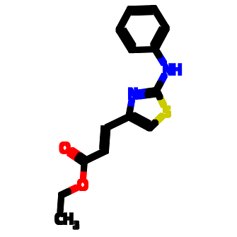 CCOC(=O)/C=C/c1csc(Nc2ccccc2)n1